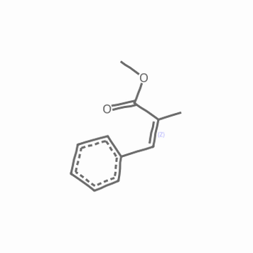 COC(=O)/C(C)=C\c1ccccc1